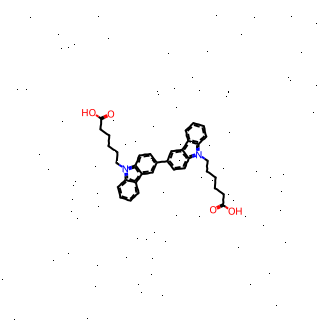 O=C(O)CCCCCn1c2ccccc2c2cc(-c3ccc4c(c3)c3ccccc3n4CCCCCC(=O)O)ccc21